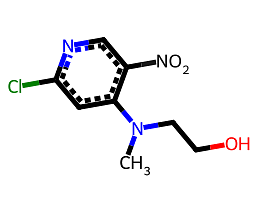 CN(CCO)c1cc(Cl)ncc1[N+](=O)[O-]